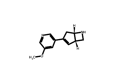 COc1cncc(C2=C[C@H]3CN[C@H]3C2)c1